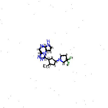 CCC1CC(N2CCC(F)(F)C2)CC1c1nnc2cnc3[nH]ccc3n12